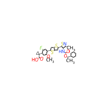 COc1cc(C2(C(=O)O)CC2)c(F)cc1-c1cc2sc(-c3snc(C)c3NC(=O)O[C@H](C)c3ccccc3)cc2s1